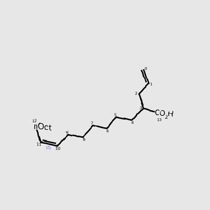 C=CCC(CCCCCC/C=C\CCCCCCCC)C(=O)O